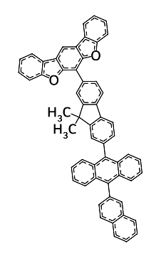 CC1(C)c2cc(-c3c4ccccc4c(-c4ccc5ccccc5c4)c4ccccc34)ccc2-c2ccc(-c3c4oc5ccccc5c4cc4c3oc3ccccc34)cc21